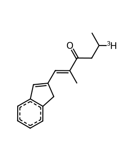 [3H]C(C)CC(=O)/C(C)=C/C1=Cc2ccccc2C1